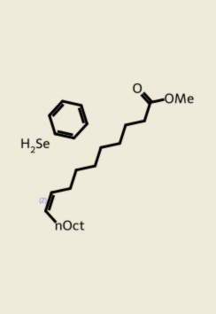 CCCCCCCC/C=C\CCCCCCCC(=O)OC.[SeH2].c1ccccc1